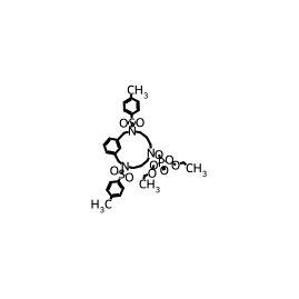 CCOOP(=O)(OOCC)ON1CCCN(S(=O)(=O)c2ccc(C)cc2)Cc2cccc(c2)CN(S(=O)(=O)c2ccc(C)cc2)CCC1